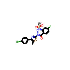 Cc1sc(NC(=O)c2ccc(F)cc2NS(=O)(=O)C(C)C)nc1-c1ccc(Br)cc1